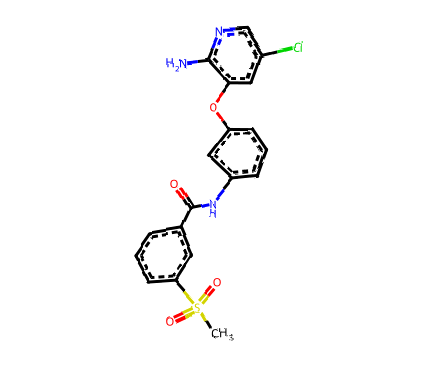 CS(=O)(=O)c1cccc(C(=O)Nc2cccc(Oc3cc(Cl)cnc3N)c2)c1